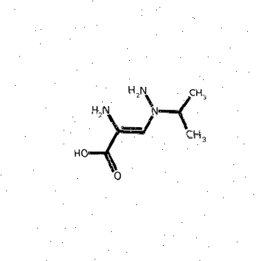 CC(C)N(N)/C=C(\N)C(=O)O